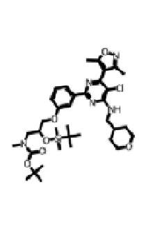 Cc1noc(C)c1-c1nc(-c2cccc(OCC(CN(C)C(=O)OC(C)(C)C)O[Si](C)(C)C(C)(C)C)c2)nc(NCC2CCOCC2)c1Cl